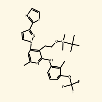 Cc1cc(-n2ccc(-c3nccs3)n2)c(CCO[Si](C)(C)C(C)(C)C)c(Nc2cccc(OC(F)(F)F)c2C)n1